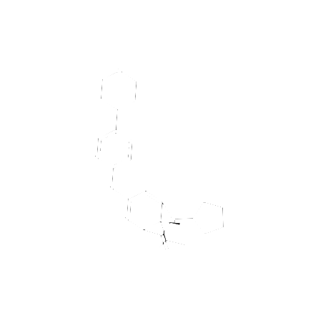 CC(C)[C@@]1(C)C2=CC(Nc3ccc(C4CCNCC4)cn3)=NC1C(=O)N2C1CCCC1